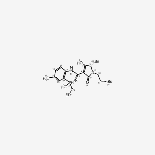 CCO[PH]1(O)N=C(C2=C(O)[C@H](C(C)(C)C)N(CCC(C)(C)C)C2=O)Nc2ccc(C(F)(F)F)cc21